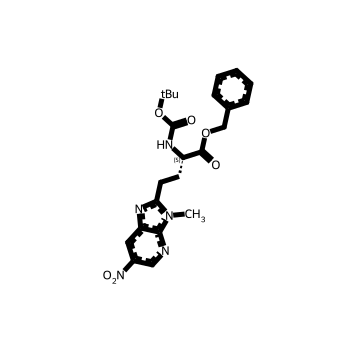 Cn1c(CC[C@H](NC(=O)OC(C)(C)C)C(=O)OCc2ccccc2)nc2cc([N+](=O)[O-])cnc21